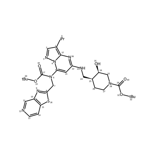 CC(C)c1cnn2c(N(Cc3nc4cnccc4s3)C(=O)OC(C)(C)C)cc(NC[C@@H]3CCN(C(=O)OC(C)(C)C)C[C@@H]3O)nc12